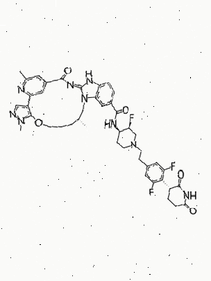 Cc1cc2cc(n1)-c1cnn(C)c1OCCC[C@@H](C)CN1/C(=N/C2=O)Nc2ccc(C(=O)N[C@@H]3CCN(CCc4cc(F)c([C@H]5CCC(=O)NC5=O)c(F)c4)C[C@@H]3F)cc21